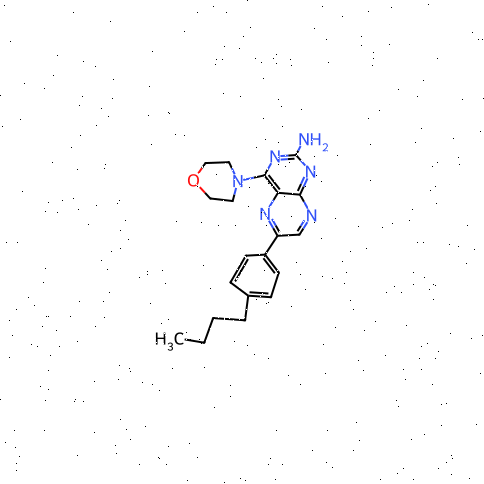 CCCCc1ccc(-c2cnc3nc(N)nc(N4CCOCC4)c3n2)cc1